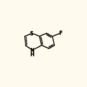 Fc1ccc2c(c1)SC=CN2